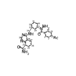 CC(=O)c1ccc(C(=O)N(N)c2cccc(CNc3ncnc4c(C(N)=O)cccc34)c2)cc1